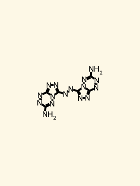 Nc1nnc2nnc(N=Nc3nnc4nnc(N)nn34)n2n1